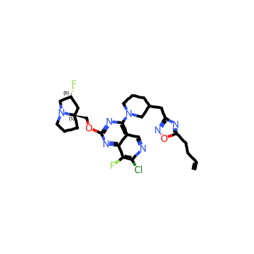 C=CCCc1nc(CC2CCCN(c3nc(OC[C@@]45CCCN4C[C@H](F)C5)nc4c(F)c(Cl)ncc34)C2)no1